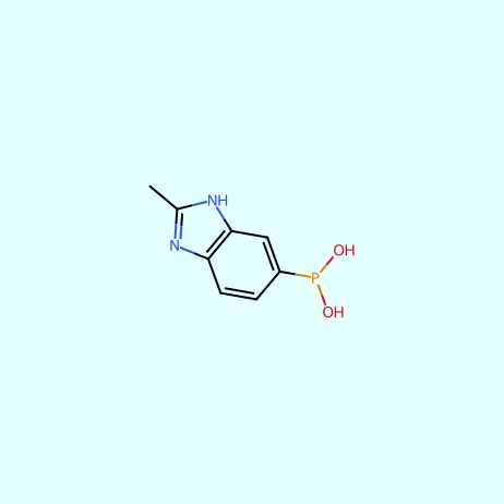 Cc1nc2ccc(P(O)O)cc2[nH]1